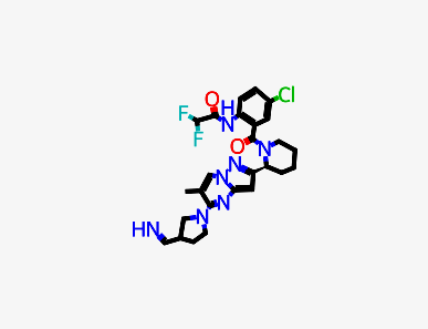 Cc1cn2nc([C@@H]3CCCCN3C(=O)c3cc(Cl)ccc3NC(=O)C(F)F)cc2nc1N1CCC(C=N)C1